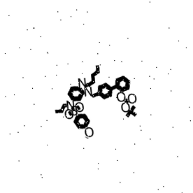 CCCCc1nc2ccc(N(CCC)S(=O)(=O)c3ccc(OC)cc3)cc2n1Cc1ccc(-c2ccccc2OC(=O)OC(C)(C)C)cc1